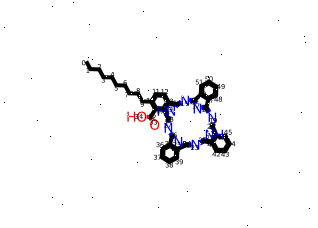 CCCCCCCCCCc1ccc2c3nc4nc(nc5[nH]c(nc6nc(nc([nH]3)c2c1C(=O)O)-c1ccccc1-6)c1ccccc51)-c1ccccc1-4